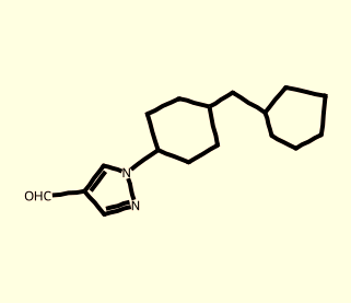 O=Cc1cnn(C2CCC(CC3CCCCC3)CC2)c1